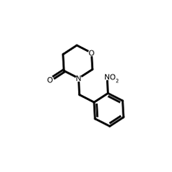 O=C1CCOCN1Cc1ccccc1[N+](=O)[O-]